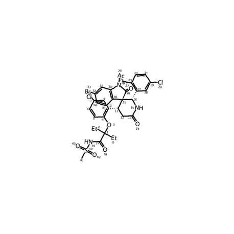 CCC(CC)(Oc1ccc(Cl)cc1[C@H]1CC(=O)N[C@@H](c2cc(Cl)ccc2C)[C@]12C(=O)N(C(C)=O)c1cc(Br)ccc12)C(=O)NS(C)(=O)=O